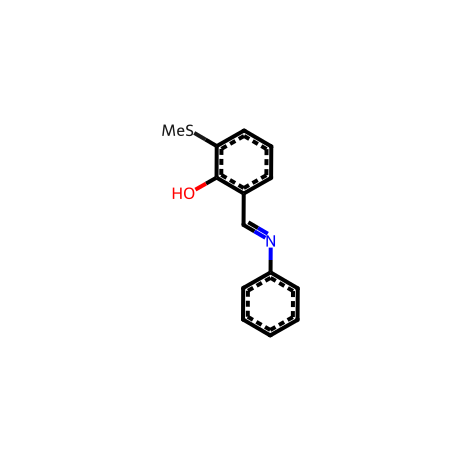 CSc1cccc(/C=N/c2ccccc2)c1O